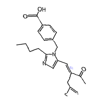 CCCCc1ncc(/C=C(\Cc2cccs2)C(C)=O)n1Cc1ccc(C(=O)O)cc1